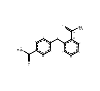 CNC(=O)c1ccc(Cc2ccccc2C(N)=O)cc1